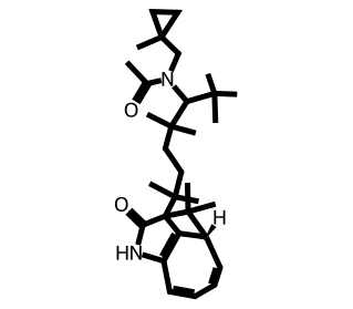 CC(=O)N(CC1(C)CC1)C(C(C)(C)C)C(C)(C)CCC(C)(C)C12C(=O)NC3=C1[C@@H](C=CC=C3)C2(C)C